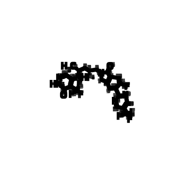 C[C@@H](C[C@@H](F)CN1Cc2cc(-c3ncc(C(F)(F)F)cn3)c(F)cc2C1=O)Nc1cn[nH]c(=O)c1C(F)(F)F